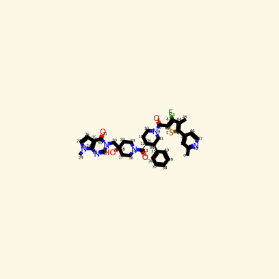 Cc1cc(-c2sc(C(=O)N3CC[C@@H](C(=O)N4CCC(O)(Cn5cnc6c(ccn6C)c5=O)CC4)[C@H](c4ccccc4)C3)c(F)c2C)ccn1